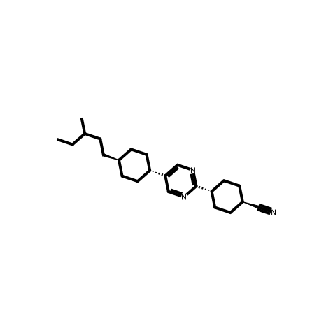 CCC(C)CC[C@H]1CC[C@H](c2cnc([C@H]3CC[C@H](C#N)CC3)nc2)CC1